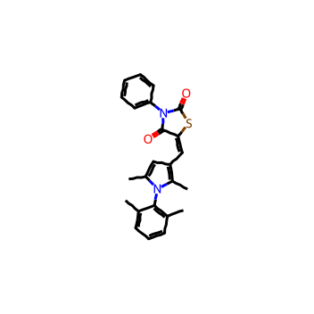 Cc1cccc(C)c1-n1c(C)cc(C=C2SC(=O)N(c3ccccc3)C2=O)c1C